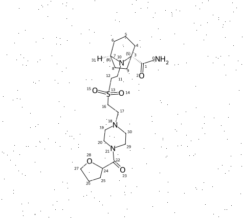 NC(=O)[C@]12C[CH]C[C@H](CC1)N2CCS(=O)(=O)CCN1CCN(C(=O)C2CCCO2)CC1